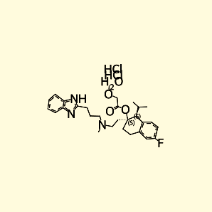 COCC(=O)O[C@]1(CCN(C)CCCc2nc3ccccc3[nH]2)CCc2cc(F)ccc2[C@@H]1C(C)C.Cl.Cl.O